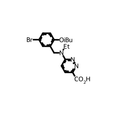 CCN(Cc1cc(Br)ccc1OCC(C)C)c1ccc(C(=O)O)nn1